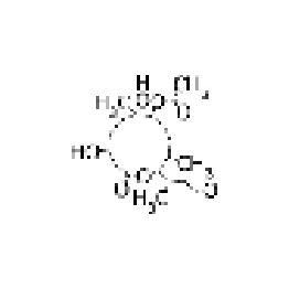 CC(=O)OC1CCC(C)C(C(C)CC=O)OC(=O)CC(O)CCC1(C)O